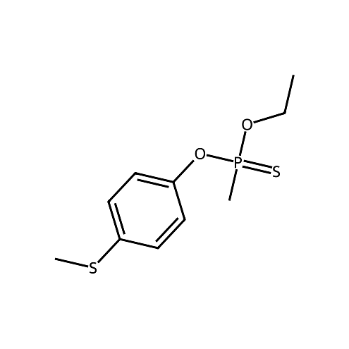 CCOP(C)(=S)Oc1ccc(SC)cc1